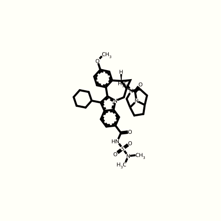 COc1ccc2c(c1)[C@@H]1C[C@]1(C(=O)N1C3CCC1CN(C)CC3)Cn1c-2c(C2CCCCC2)c2ccc(C(=O)NS(=O)(=O)N(C)C)cc21